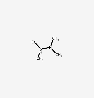 CC[SH](C)N(C)C